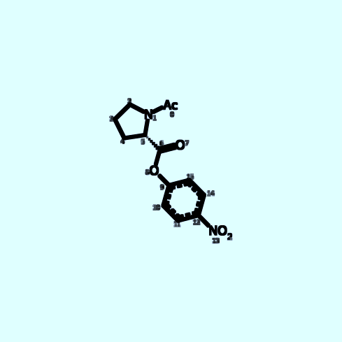 CC(=O)N1CCC[C@H]1C(=O)Oc1ccc([N+](=O)[O-])cc1